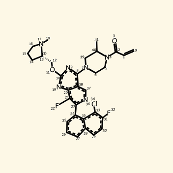 C=CC(=O)N1CCN(c2nc(OC[C@@H]3CCCN3C)nc3c(F)c(-c4cccc5ccc(F)c(Cl)c45)ncc23)CC1C